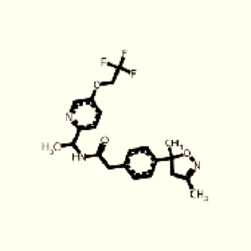 CC1=NOC(C)(c2ccc(CC(=O)NC(C)c3ccc(OCC(F)(F)F)cn3)cc2)C1